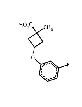 C[C@]1(C(=O)O)C[C@H](Oc2cccc(F)c2)C1